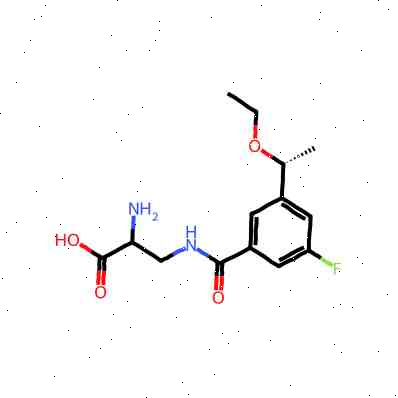 CCO[C@H](C)c1cc(F)cc(C(=O)NCC(N)C(=O)O)c1